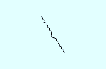 CCCCCCCCCCCC#CCC#CCCCCCCCCCCCC